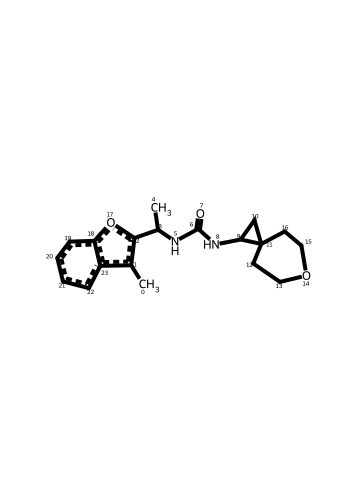 Cc1c(C(C)NC(=O)NC2CC23CCOCC3)oc2ccccc12